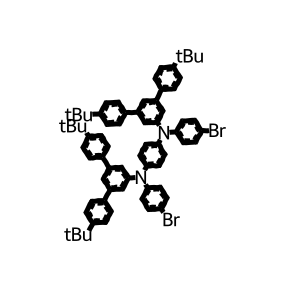 CC(C)(C)c1ccc(-c2cc(-c3ccc(C(C)(C)C)cc3)cc(N(c3ccc(Br)cc3)c3ccc(N(c4ccc(Br)cc4)c4cc(-c5ccc(C(C)(C)C)cc5)cc(-c5ccc(C(C)(C)C)cc5)c4)cc3)c2)cc1